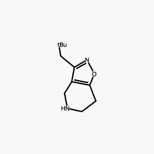 CC(C)(C)Cc1noc2c1CNCC2